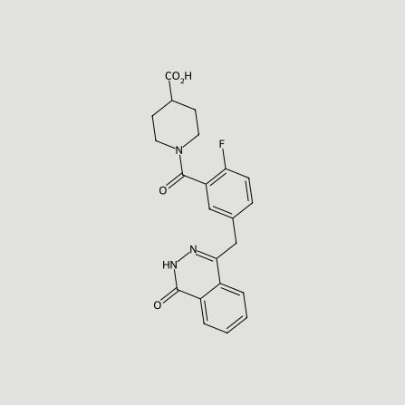 O=C(O)C1CCN(C(=O)c2cc(Cc3n[nH]c(=O)c4ccccc34)ccc2F)CC1